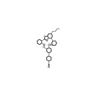 CCCCc1cc(-c2ccccc2)c2nc(-c3ccccc3/N=C/c3cc(-c4ccc(C#N)cc4)ccc3O)sc2c1